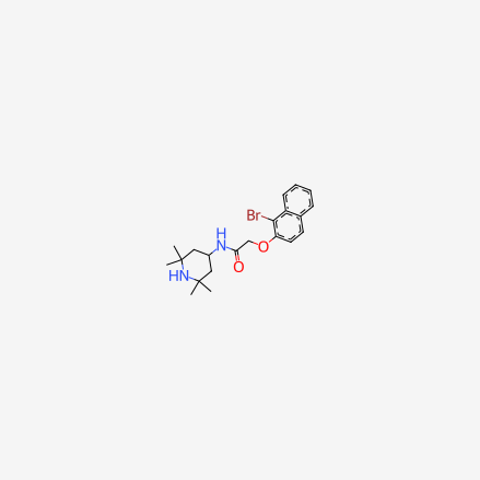 CC1(C)CC(NC(=O)COc2ccc3ccccc3c2Br)CC(C)(C)N1